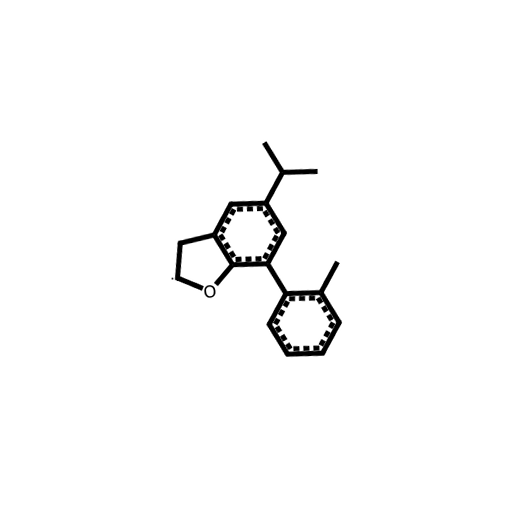 Cc1ccccc1-c1cc(C(C)C)cc2c1O[CH]C2